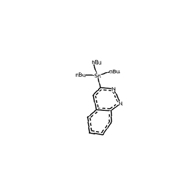 CCC[CH2][Sn]([CH2]CCC)([CH2]CCC)[c]1cc2ccccc2nn1